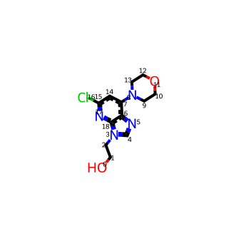 OCCn1cnc2c(N3CCOCC3)cc(Cl)nc21